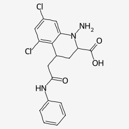 NN1c2cc(Cl)cc(Cl)c2C(CC(=O)Nc2ccccc2)CC1C(=O)O